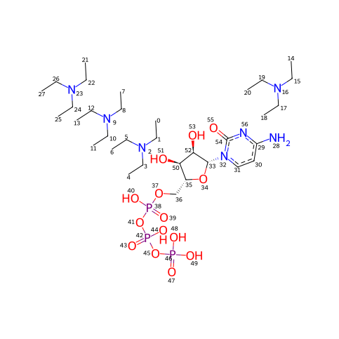 CCN(CC)CC.CCN(CC)CC.CCN(CC)CC.CCN(CC)CC.Nc1ccn([C@@H]2O[C@H](COP(=O)(O)OP(=O)(O)OP(=O)(O)O)[C@@H](O)[C@H]2O)c(=O)n1